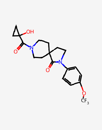 O=C(N1CCC2(CC1)CCN(c1ccc(OC(F)(F)F)cc1)C2=O)C1(O)CC1